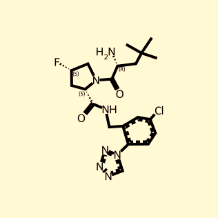 CC(C)(C)C[C@@H](N)C(=O)N1C[C@@H](F)C[C@H]1C(=O)NCc1cc(Cl)ccc1-n1cnnn1